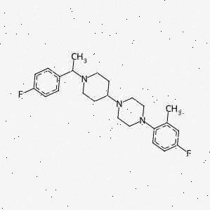 Cc1cc(F)ccc1N1CCN(C2CCN(C(C)c3ccc(F)cc3)CC2)CC1